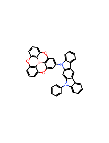 c1ccc(-n2c3ccccc3c3cc4c5ccccc5n(-c5cc6c7c(c5)Oc5cccc8c5B7c5c(cccc5O6)O8)c4cc32)cc1